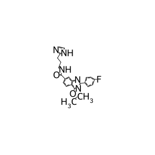 CC(C)Oc1nc(-c2ccc(F)cc2)nc2cc(C(=O)NCCCc3ncc[nH]3)ccc12